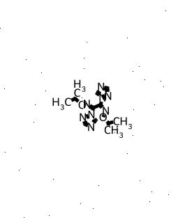 CC(C)ON=C(C(=NOC(C)C)n1cncn1)n1cncn1